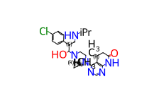 CC(C)NC[C@H](c1ccc(Cl)cc1)C(O)N1CCN(c2ncnc3c2[C@H](C)CC(=O)N3)[C@@H]2C[C@]21C